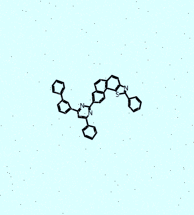 c1ccc(-c2cccc(-c3cc(-c4ccccc4)nc(-c4ccc5c(ccc6ccc7nc(-c8ccccc8)sc7c65)c4)n3)c2)cc1